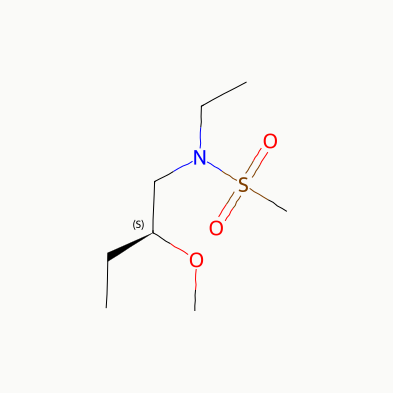 CC[C@@H](CN(CC)S(C)(=O)=O)OC